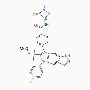 COCC(C)(C)c1c(-c2ccc(C(=O)N[C@H]3CNC3=O)cc2)c2cc3[nH]ncc3cc2n1-c1ccc(F)cc1